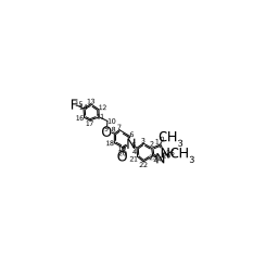 Cc1c2cc(-n3ccc(OCc4ccc(F)cc4)cc3=O)ccc2nn1C